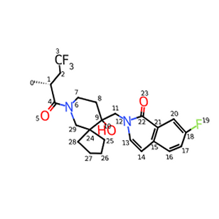 C[C@H](CC(F)(F)F)C(=O)N1CCC(O)(Cn2ccc3ccc(F)cc3c2=O)C2(CCCC2)C1